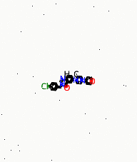 C[C@@H]1CN(C2CCOCC2)CCN1c1ccc2ncn(Cc3ccc(Cl)cc3)c(=O)c2c1